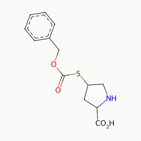 O=C(OCc1ccccc1)SC1CNC(C(=O)O)C1